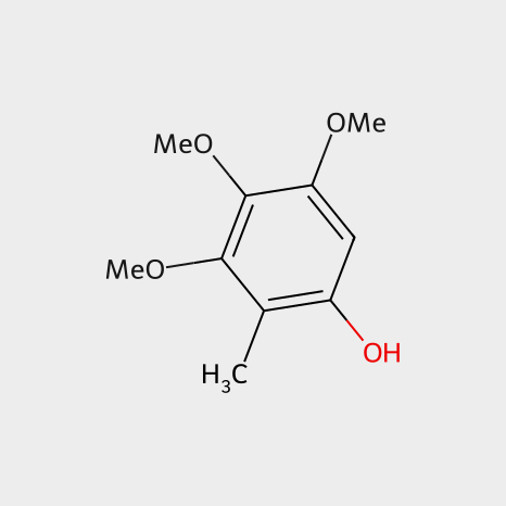 COc1cc(O)c(C)c(OC)c1OC